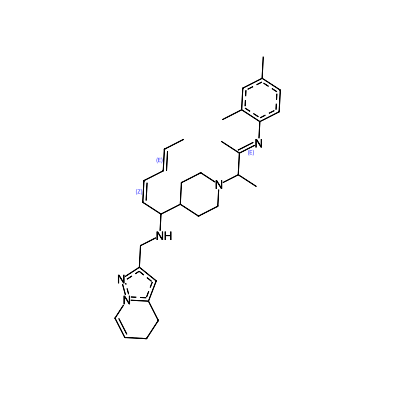 C/C=C/C=C\C(NCc1cc2n(n1)C=CCC2)C1CCN(C(C)/C(C)=N/c2ccc(C)cc2C)CC1